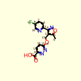 Cc1onc(-c2ccc(F)cn2)c1COc1ccc(C(=O)O)nn1